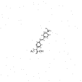 C=C(O)C(CC(C)=O)[n+]1ccc(/C=C/c2ccc(N(C)C)cc2)cc1